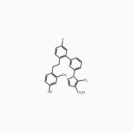 CCOC(=O)c1cnn(-c2cccc(-c3cc(F)ccc3CCc3ccc(O)cc3C)n2)c1C(F)(F)F